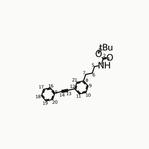 CC(C)(C)OC(=O)NCCCc1cccc(C#Cc2ccccc2)c1